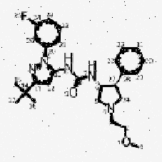 COCCN1C[C@H](NC(=O)Nc2cc(C(C)(C)C)nn2-c2cccc(F)c2)[C@@H](c2ccccc2)C1